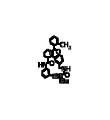 Cc1ccccc1C(=O)N1CCCC(C(=O)Nc2cccc(C(C)(C)C)c2)C1c1cccc(CNC(=O)OC(C)(C)C)c1